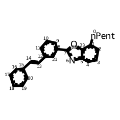 CCCCCc1cccc2nc(-c3cccc(C=Cc4ccccc4)c3)oc12